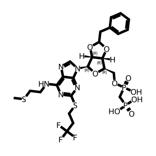 CSCCNc1nc(SCCC(F)(F)F)nc2c1ncn2[C@@H]1O[C@H](COP(=O)(O)CP(=O)(O)O)[C@H]2OC(Cc3ccccc3)O[C@H]21